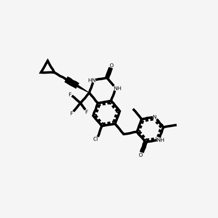 Cc1nc(C)c(Cc2cc3c(cc2Cl)[C@](C#CC2CC2)(C(F)(F)F)NC(=O)N3)c(=O)[nH]1